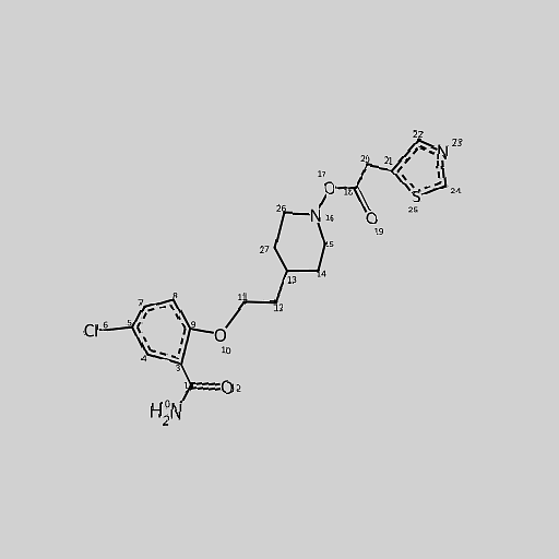 NC(=O)c1cc(Cl)ccc1OCCC1CCN(OC(=O)Cc2cncs2)CC1